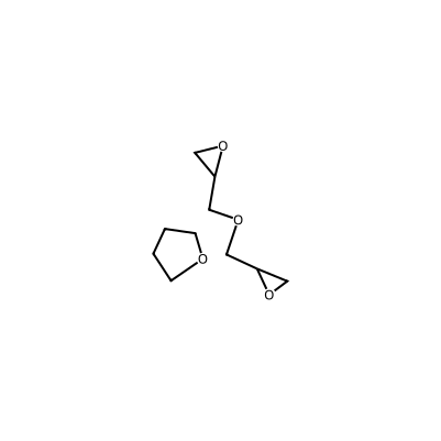 C(OCC1CO1)C1CO1.C1CCOC1